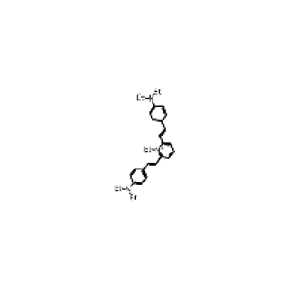 CCN(CC)c1ccc(/C=C/c2cccc(/C=C/c3ccc(N(CC)CC)cc3)[n+]2CC)cc1